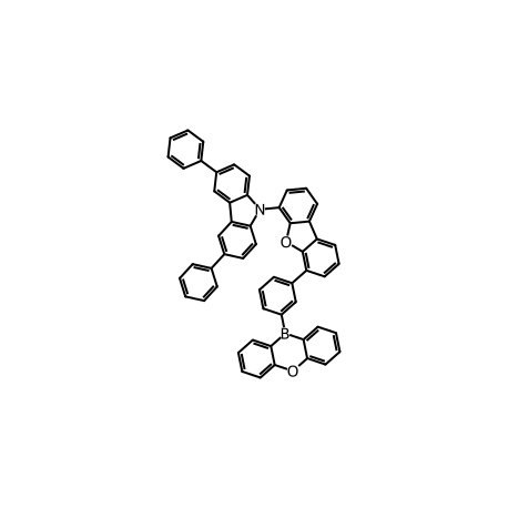 c1ccc(-c2ccc3c(c2)c2cc(-c4ccccc4)ccc2n3-c2cccc3c2oc2c(-c4cccc(B5c6ccccc6Oc6ccccc65)c4)cccc23)cc1